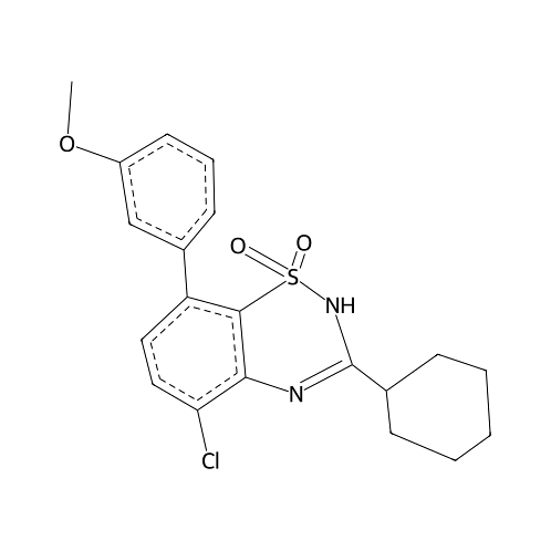 COc1cccc(-c2ccc(Cl)c3c2S(=O)(=O)NC(C2CCCCC2)=N3)c1